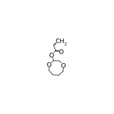 C=CC(=O)OC1COCCCCO1